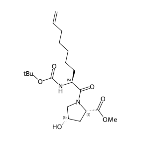 C=CCCCCC[C@H](NC(=O)OC(C)(C)C)C(=O)N1C[C@@H](O)C[C@H]1C(=O)OC